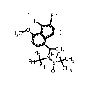 [2H]C([2H])([2H])N(C(C)c1cnc(OC)c2c(F)c(F)ccc12)[S@@+]([O-])C(C)(C)C